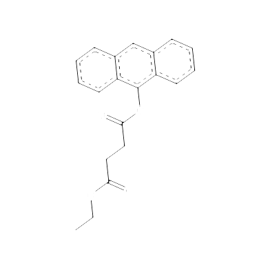 CCOC(=O)CCC(=O)Oc1c2ccccc2cc2ccccc12